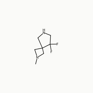 CN1CC2(CNCC2(F)F)C1